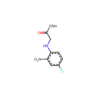 COC(=O)CNc1ccc(F)cc1[N+](=O)[O-]